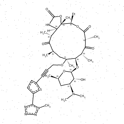 CC[C@H]1OC(=O)[C@H](C)C(=O)[C@H](C)[C@@H](O[C@@H]2O[C@H](C)C[C@H](N(C)C)[C@H]2O)[C@@](C)(OCC#Cc2ccc(-c3nnnn3C)s2)C[C@@H](C)C(=O)[C@H](C)[C@H]2NC(=O)O[C@@]21C